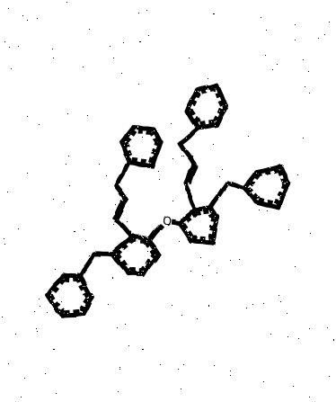 C(=Cc1c(Cc2ccccc2)cccc1Oc1cccc(Cc2ccccc2)c1C=CCc1ccccc1)Cc1ccccc1